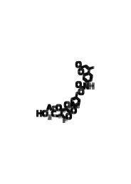 CC(=O)O[C@@H]1[C@H](Oc2ccc(COC(=O)Nc3ccc4c(C)cc(=O)oc4c3)cc2)O[C@@H](C)[C@@H](CC(=O)O)[C@H]1OC(C)=O